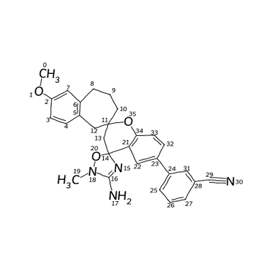 COc1ccc2c(c1)CCCC1(C2)CC2(N=C(N)N(C)O2)c2cc(-c3cccc(C#N)c3)ccc2O1